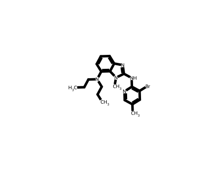 CCCN(CCC)c1cccc2nc(Nc3ncc(C)cc3Br)n(C)c12